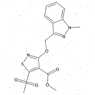 COC(=O)c1c(OCc2nn(C)c3ccccc23)nsc1S(C)(=O)=O